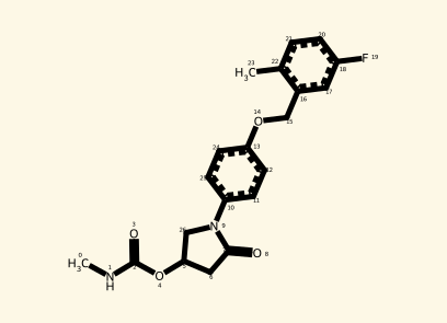 CNC(=O)OC1CC(=O)N(c2ccc(OCc3cc(F)ccc3C)cc2)C1